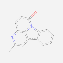 Cc1cc2c3ccccc3n3c(=O)ccc(n1)c23